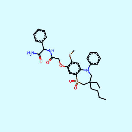 CCCCC1(CC)CN(c2ccccc2)c2cc(SC)c(OCC(=O)NC(C(N)=O)c3ccccc3)cc2S(=O)(=O)C1